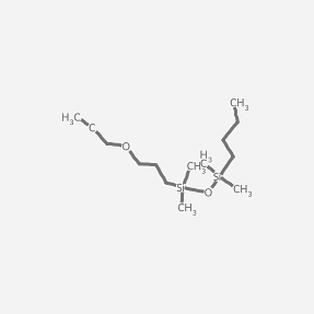 CCCC[Si](C)(C)O[Si](C)(C)CCCOCCC